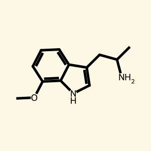 COc1cccc2c(CC(C)N)c[nH]c12